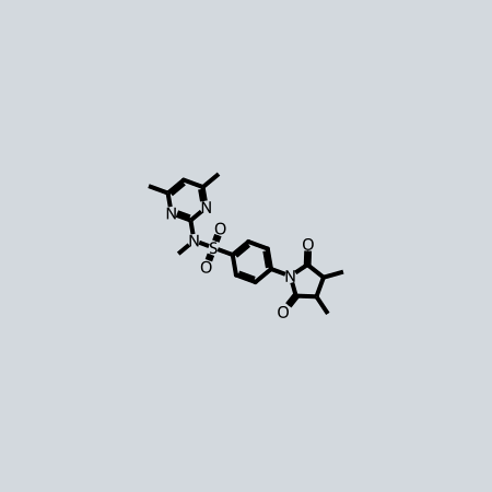 Cc1cc(C)nc(N(C)S(=O)(=O)c2ccc(N3C(=O)C(C)C(C)C3=O)cc2)n1